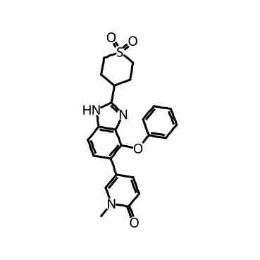 Cn1cc(-c2ccc3[nH]c(C4CCS(=O)(=O)CC4)nc3c2Oc2ccccc2)ccc1=O